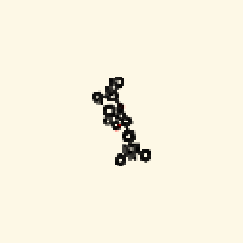 C1=CC2Oc3ccccc3C3(c4cc(-c5ccc(-c6nc(-c7ccccc7)nc(-c7ccccc7)n6)cc5)ccc4-c4ccc(-c5cc(-c6ccccn6)nc(-c6ccccn6)c5)cc43)C2C=C1